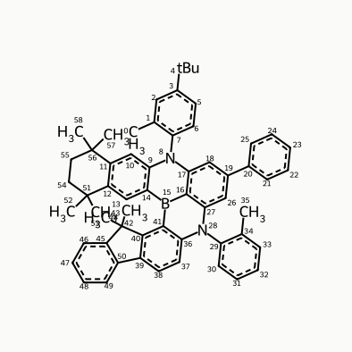 Cc1cc(C(C)(C)C)ccc1N1c2cc3c(cc2B2c4c1cc(-c1ccccc1)cc4N(c1ccccc1C)c1ccc4c(c12)C(C)(C)c1ccccc1-4)C(C)(C)CCC3(C)C